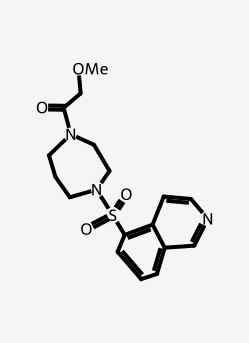 COCC(=O)N1CCCN(S(=O)(=O)c2cccc3cnccc23)CC1